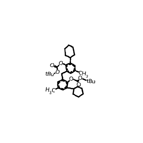 Cc1cc(Cc2cc(C)cc(C3CCCCC3)c2OC(=O)OC(C)(C)C)c(OC(=O)OC(C)(C)C)c(C2CCCCC2)c1